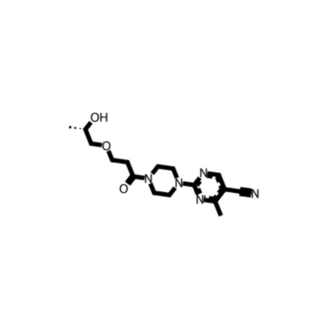 Cc1nc(N2CCN(C(=O)CCOC[C@H](C)O)CC2)ncc1C#N